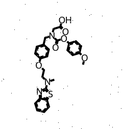 COc1ccc(OC(=O)N(CC(=O)O)Cc2ccc(OCCN(C)c3nc4ccccc4s3)cc2)cc1